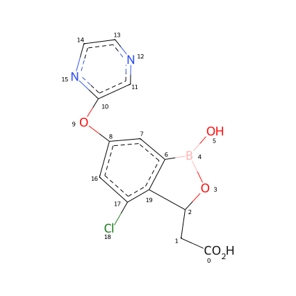 O=C(O)CC1OB(O)c2cc(Oc3cnccn3)cc(Cl)c21